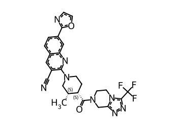 C[C@@H]1CN(c2nc3cc(-c4ncco4)ccc3cc2C#N)CC[C@@H]1C(=O)N1CCn2c(nnc2C(F)(F)F)C1